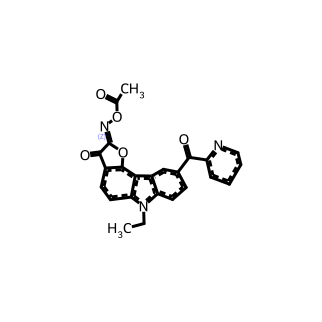 CCn1c2ccc(C(=O)c3ccccn3)cc2c2c3c(ccc21)C(=O)/C(=N/OC(C)=O)O3